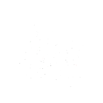 FC1=C2C(=C(F)c3c(F)c(F)c(F)c(F)c32)C(F)(BC2(F)c3c(F)c(F)c(F)c(F)c3C(F)(F)C(F)(F)C2(F)F)C(F)=C1F.Fc1cc(F)c(Bc2c(F)cc(F)c(F)c2F)c(F)c1F